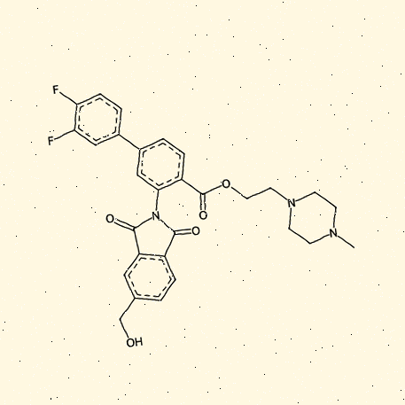 CN1CCN(CCOC(=O)c2ccc(-c3ccc(F)c(F)c3)cc2N2C(=O)c3ccc(CO)cc3C2=O)CC1